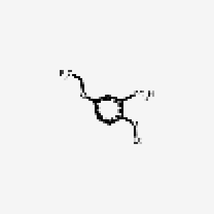 CCOc1ccc(OCC(F)(F)F)cc1C(=O)O